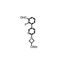 COC1CN(c2ccc(-c3cccc(C=O)c3F)cn2)C1